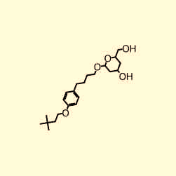 CC(C)(C)CCOc1ccc(CCCCOC2CC(O)CC(CO)O2)cc1